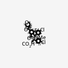 CO[C@]1(c2ccc(Cl)cc2)c2c(F)cc(C(=O)C3(F)CCOCC3)cc2C(=O)N1C(CC(=O)O)c1ccc(Cl)cc1